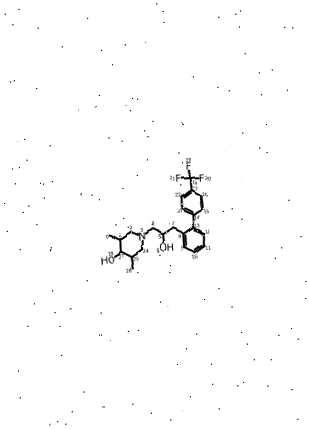 CC1CN(CC(O)Cc2ccccc2-c2ccc(C(F)(F)F)cc2)CC(C)C1O